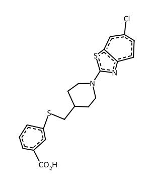 O=C(O)c1cccc(SCC2CCN(c3nc4ccc(Cl)cc4s3)CC2)c1